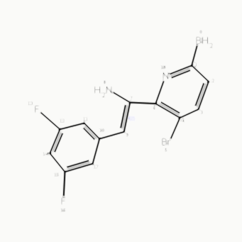 Bc1ccc(Br)c(/C(N)=C/c2cc(F)cc(F)c2)n1